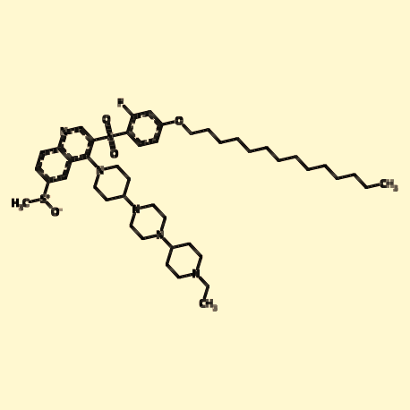 CCCCCCCCCCCCCCOc1ccc(S(=O)(=O)c2cnc3ccc([S+](C)[O-])cc3c2N2CCC(N3CCN(C4CCN(CC)CC4)CC3)CC2)c(F)c1